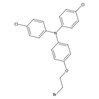 Clc1ccc(N(c2ccc(Cl)cc2)c2ccc(OCCBr)cc2)cc1